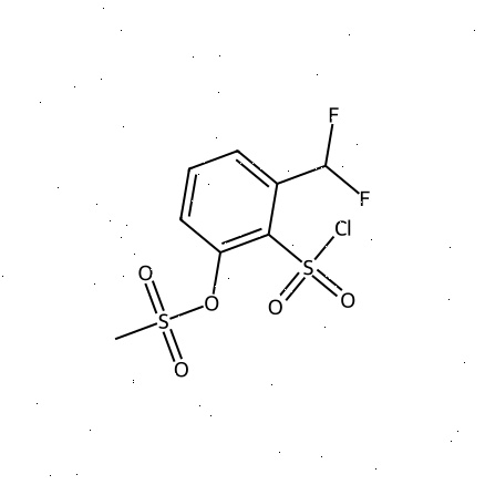 CS(=O)(=O)Oc1cccc(C(F)F)c1S(=O)(=O)Cl